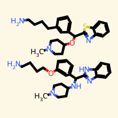 CN1CCC(NC(c2cccc(OCCCCN)c2)c2nc3ccccc3[nH]2)CC1.CN1CCC(OC(c2cccc(CCCCN)c2)c2nc3ccccc3s2)CC1